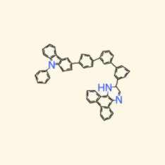 C1=Nc2c(c3ccccc3c3ccccc23)NC1c1cccc(-c2cccc(-c3ccc(-c4ccc5c(c4)c4ccccc4n5-c4ccccc4)cc3)c2)c1